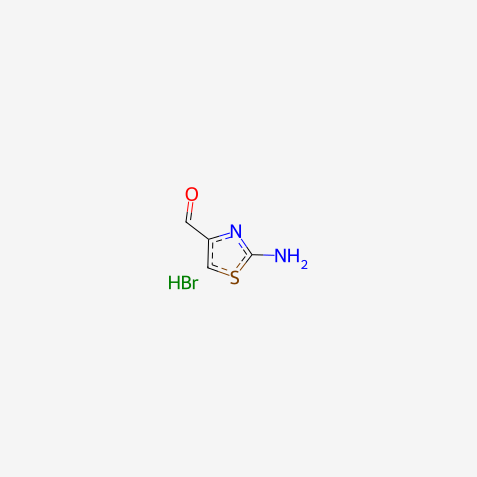 Br.Nc1nc(C=O)cs1